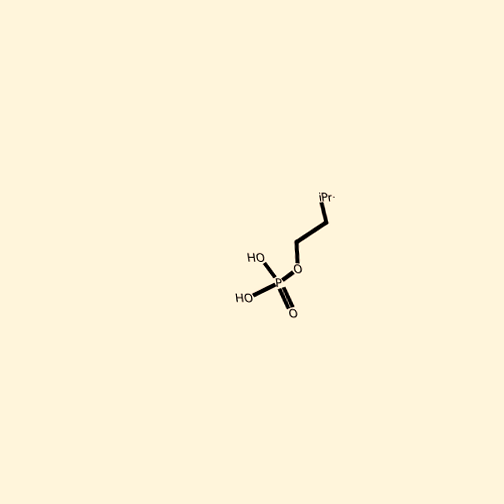 C[C](C)CCOP(=O)(O)O